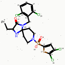 CC(C)CC1NC2(CCN(S(=O)(=O)c3cc(Cl)c(Cl)s3)CC2)N(Cc2c(Cl)cccc2Cl)C1=O